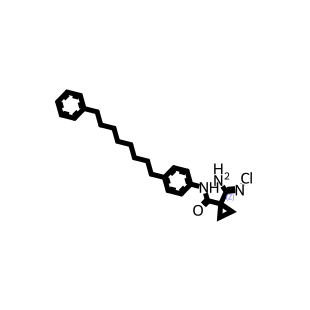 N/C(=N\Cl)C1(C(=O)Nc2ccc(CCCCCCCCc3ccccc3)cc2)CC1